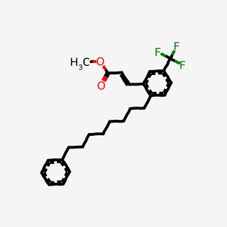 COC(=O)/C=C/c1cc(C(F)(F)F)ccc1CCCCCCCCc1ccccc1